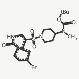 CN(C(=O)OC(C)(C)C)C1CCN(S(=O)(=O)c2c[nH]c(=O)c3ccc(Br)cc23)CC1